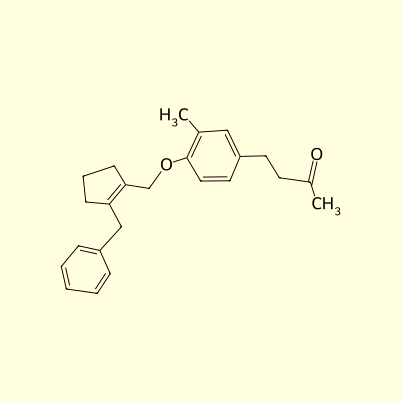 CC(=O)CCc1ccc(OCC2=C(Cc3ccccc3)CCC2)c(C)c1